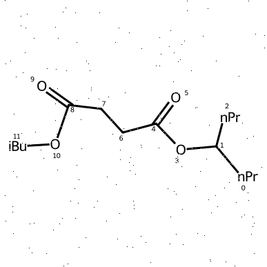 CCCC(CCC)OC(=O)CCC(=O)OC(C)CC